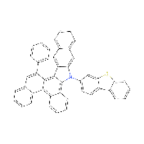 c1ccc(-c2cc3ccccc3c3c4ccccc4c4c(c5cc6ccccc6cc5n4-c4ccc5c(c4)sc4ccccc45)c23)cc1